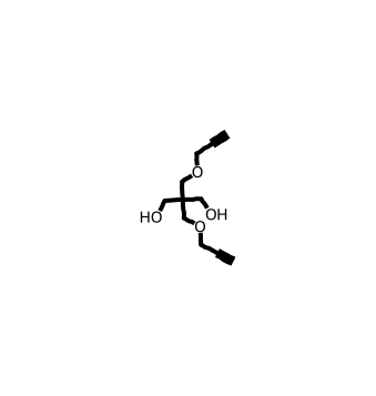 C#CCOCC(CO)(CO)COCC#C